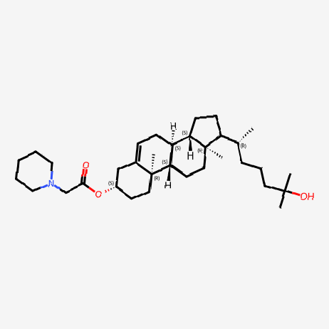 C[C@H](CCCC(C)(C)O)C1CC[C@H]2[C@@H]3CC=C4C[C@@H](OC(=O)CN5CCCCC5)CC[C@]4(C)[C@H]3CC[C@]12C